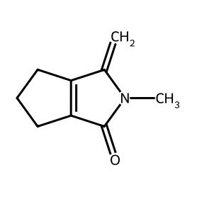 C=C1C2=C(CCC2)C(=O)N1C